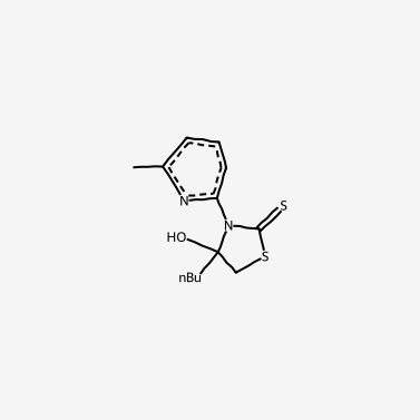 CCCCC1(O)CSC(=S)N1c1cccc(C)n1